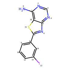 Nc1ncnc2nc(-c3cccc(I)c3)sc12